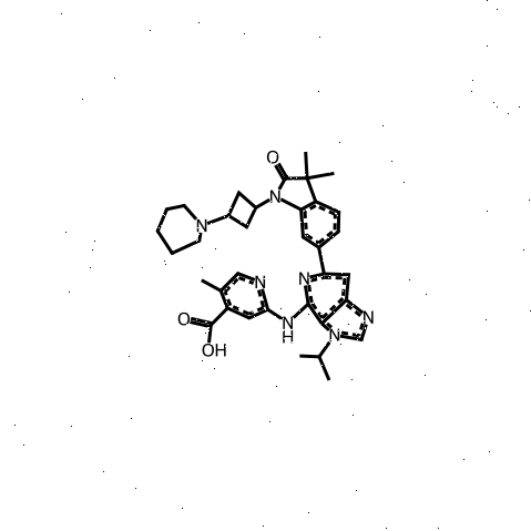 Cc1cnc(Nc2nc(-c3ccc4c(c3)N(C3CC(N5CCCCC5)C3)C(=O)C4(C)C)cc3ncn(C(C)C)c23)cc1C(=O)O